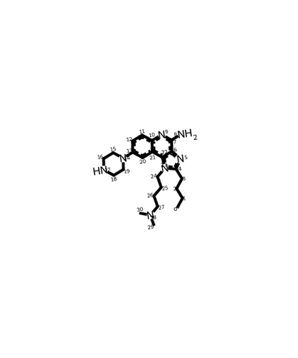 CCCCc1nc2c(N)nc3ccc(N4CCNCC4)cc3c2n1CCCCN(C)C